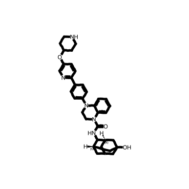 O=C(NC1[C@@H]2CC3C[C@H]1CC(O)(C3)C2)N1CCN(c2ccc(-c3ccc(OC4CCNCC4)cn3)cc2)c2ccccc21